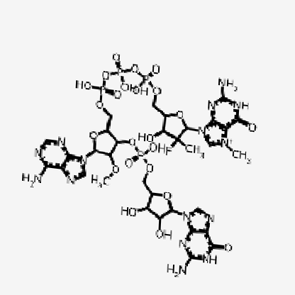 COC1C(OP(=O)(O)OCC2OC(n3cnc4c(=O)[nH]c(N)nc43)C(O)C2O)C(COP(=O)(O)OP(=O)(O)OP(=O)(O)OCC2OC(n3c[n+](C)c4c(=O)[nH]c(N)nc43)C(C)(F)C2O)OC1n1cnc2c(N)ncnc21